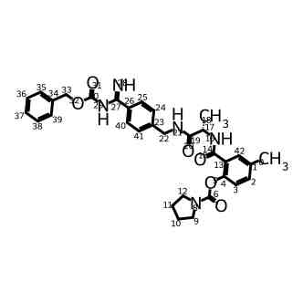 Cc1ccc(OC(=O)N2CCCC2)c(C(=O)N[C@@H](C)C(=O)NCc2ccc(C(=N)NC(=O)OCc3ccccc3)cc2)c1